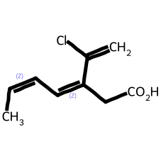 C=C(Cl)/C(=C\C=C/C)CC(=O)O